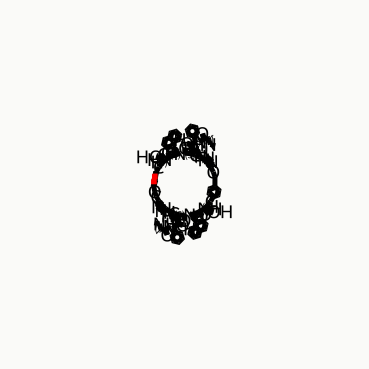 CN[C@@H](C)C(=O)N[C@H](C(=O)N1C[C@@H]2C[C@H]1C(=O)N[C@@H](Cc1cccc3ccccc13)C(=O)N[C@H](C(=O)O)Cc1ccc(cc1)COc1cn(nn1)[C@H]1C[C@@H](C(=O)N[C@@H](Cc3cccc4ccccc34)C(=O)N[C@H](C(=O)O)Cc3ccc(cc3)OCc3cn2nn3)N(C(=O)[C@@H](NC(=O)[C@H](C)NC)C2CCCCC2)C1)C1CCCCC1